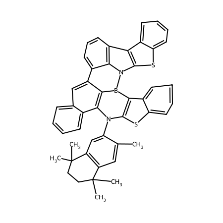 Cc1cc2c(cc1N1c3sc4ccccc4c3B3c4c(cc5ccccc5c41)-c1cccc4c5c6ccccc6sc5n3c14)C(C)(C)CCC2(C)C